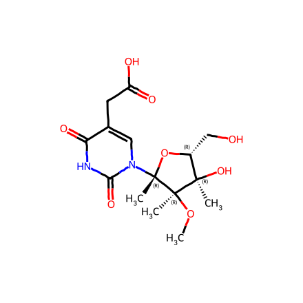 CO[C@@]1(C)[C@](C)(n2cc(CC(=O)O)c(=O)[nH]c2=O)O[C@H](CO)[C@@]1(C)O